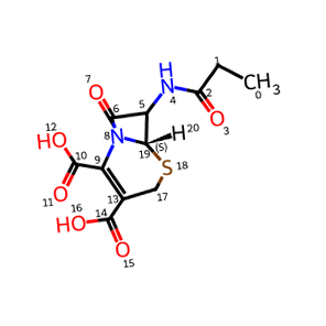 CCC(=O)NC1C(=O)N2C(C(=O)O)=C(C(=O)O)CS[C@@H]12